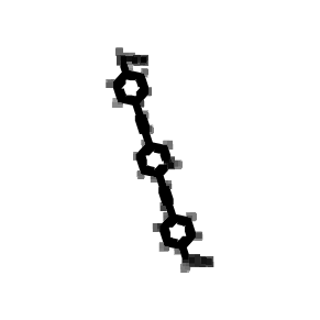 CCCCCCc1ccc(C#Cc2ccc(C#Cc3ccc(CCCCCC)cc3)nc2)cc1